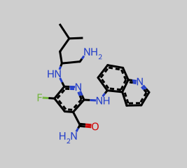 CC(C)CC(CN)Nc1nc(Nc2cccc3ncccc23)c(C(N)=O)cc1F